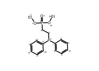 CCOP(=O)(CCP(c1ccccc1)c1ccccc1)OCC